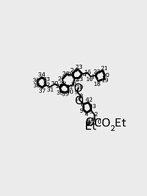 CCOC(=O)C(Cc1ccc(OCCOC2c3cc(CCc4ccccc4)ccc3C=Cc3c(CCc4ccccc4)cccc32)cc1)OCC